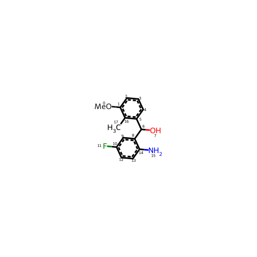 COc1cccc(C(O)c2cc(F)ccc2N)c1C